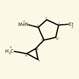 CCC1CC(NC)C(C2CC2C)C1